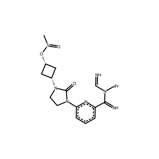 CC(C)N(C=N)C(=N)c1cccc(N2CCN([C@H]3C[C@@H](OS(C)=O)C3)C2=O)n1